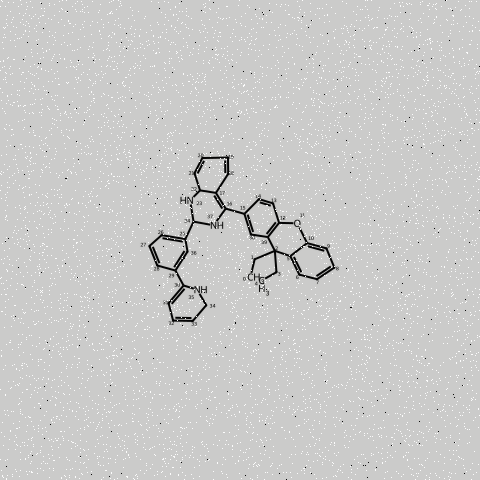 CCC1(CC)c2ccccc2Oc2ccc(C3=C4C=CC=CC4NC(c4cccc(C5=CC=CCN5)c4)N3)cc21